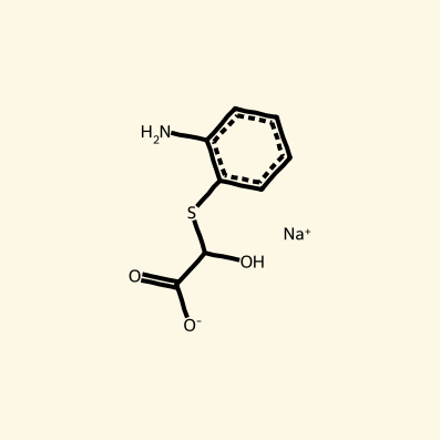 Nc1ccccc1SC(O)C(=O)[O-].[Na+]